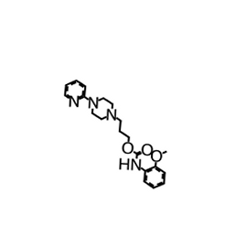 COc1ccccc1NC(=O)OCCCN1CCN(c2ccccn2)CC1